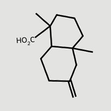 C=C1CCC2C(C)(CCCC2(C)C(=O)O)C1